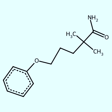 CC(C)(CCCOc1ccccc1)C(N)=O